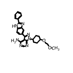 COCCOC1CCC(n2nc(-c3ccc4[nH]c(-c5ccccc5)nc4c3)c3c(N)ncnc32)CC1